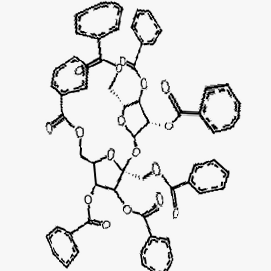 O=C(OC[C@H]1O[C@H](O[C@]2(COC(=O)c3ccccc3)O[C@H](COC(=O)c3ccccc3)[C@H](OC(=O)c3ccccc3)C2OC(=O)c2ccccc2)[C@@H](OC(=O)c2ccccc2)C1OC(=O)c1ccccc1)c1ccccc1